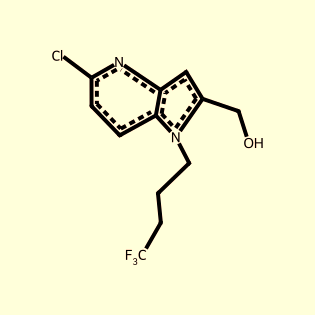 OCc1cc2nc(Cl)ccc2n1CCCC(F)(F)F